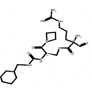 N=C(N)NCCC[C@](N)(C=O)C(=O)OC[C@@H](NC(=O)NCC1CCCCC1)C(=O)N1CCC1